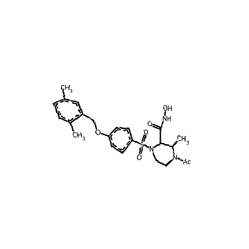 CC(=O)N1CCN(S(=O)(=O)c2ccc(OCc3cc(C)ccc3C)cc2)C(C(=O)NO)C1C